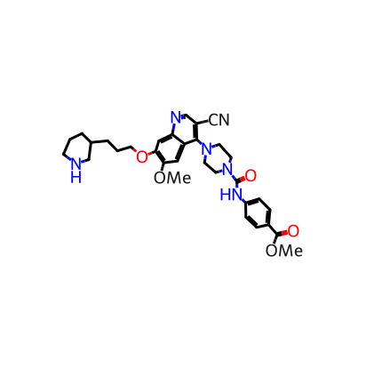 COC(=O)c1ccc(NC(=O)N2CCN(c3c(C#N)cnc4cc(OCCCC5CCCNC5)c(OC)cc34)CC2)cc1